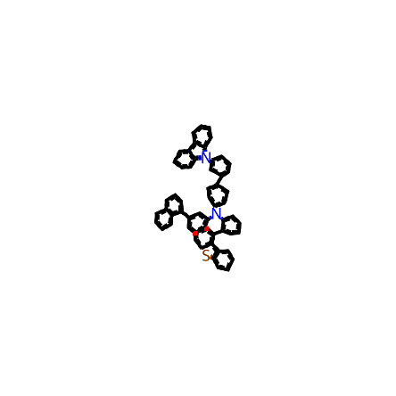 c1cc(-c2cccc3ccccc23)cc(N(c2ccc(-c3cccc(-n4c5ccccc5c5ccccc54)c3)cc2)c2ccccc2-c2cccc3sc4ccccc4c23)c1